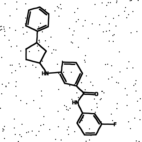 O=C(Nc1cccc(F)c1)c1cccc(NC2CCC(c3ccccc3)C2)c1